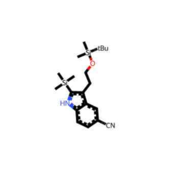 CC(C)(C)[Si](C)(C)OCCc1c([Si](C)(C)C)[nH]c2ccc(C#N)cc12